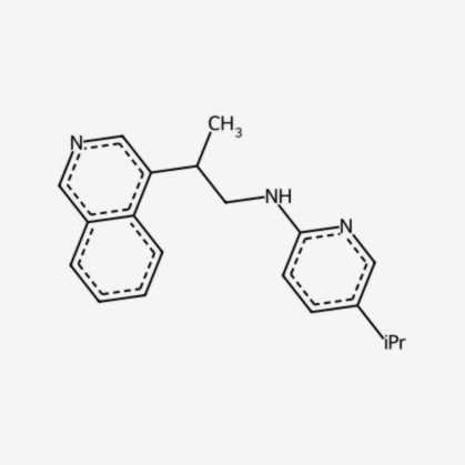 CC(C)c1ccc(NCC(C)c2cncc3ccccc23)nc1